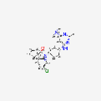 Cc1nc(N[C@H]2CC[C@@H](NC(=O)C3(c4ccc(Cl)cc4)CCCC3)CC2)cc(N(C)C)n1